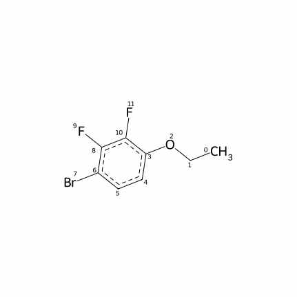 CCOc1ccc(Br)c(F)c1F